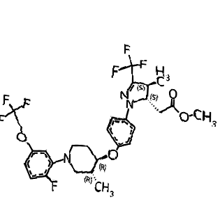 COC(=O)C[C@H]1[C@H](C)C(C(F)(F)F)=NN1c1ccc(O[C@@H]2CCN(c3cc(OCC(F)(F)F)ccc3F)C[C@H]2C)cc1